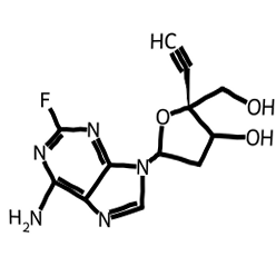 C#C[C@]1(CO)OC(n2cnc3c(N)nc(F)nc32)CC1O